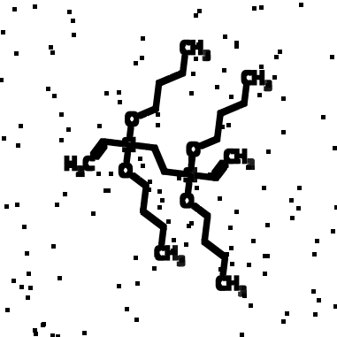 C=C[Si](CC[Si](C=C)(OCCCC)OCCCC)(OCCCC)OCCCC